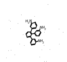 Nc1cccc(-c2cccc(-c3cccc(N)c3)c2-c2cccc(N)c2)c1